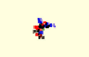 CC(C)[C@H](NC(=O)OC(C)(C)C)C(=O)O[C@]12C(O)[C@@]1(CN=[N+]=[N-])O[C@@H](n1ccc(N)nc1=O)[C@@H]2F